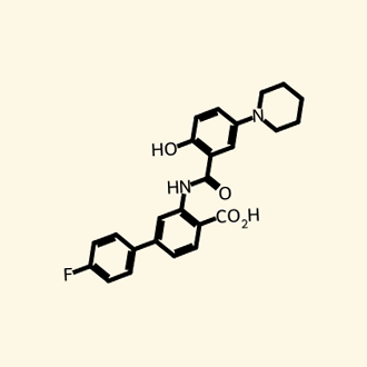 O=C(Nc1cc(-c2ccc(F)cc2)ccc1C(=O)O)c1cc(N2CCCCC2)ccc1O